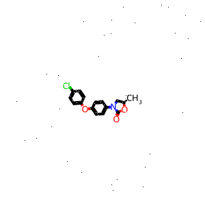 C[C@@H]1CN(c2ccc(Oc3ccc(Cl)cc3)cc2)C(=O)O1